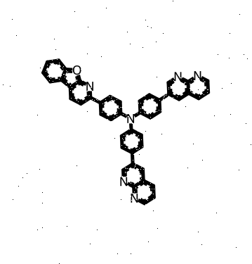 c1cnc2ncc(-c3ccc(N(c4ccc(-c5cnc6ncccc6c5)cc4)c4ccc(-c5ccc6c(n5)oc5ccccc56)cc4)cc3)cc2c1